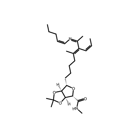 C\C=C/C(C(/C)=N\C=C/CCC)=C(/C)CCCC[C@@H]1O[C@H](C(=O)NC)[C@H]2OC(C)(C)O[C@H]21